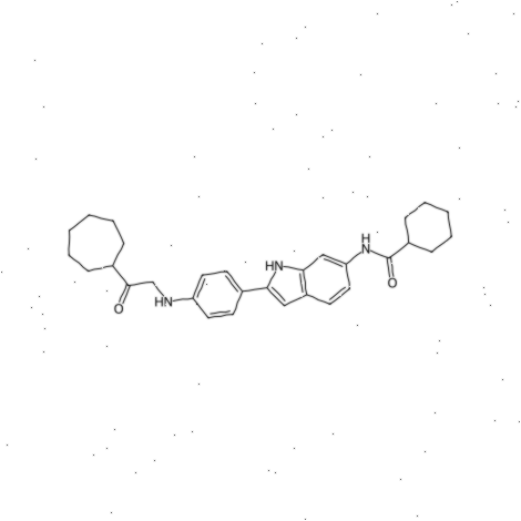 O=C(CNc1ccc(-c2cc3ccc(NC(=O)C4CCCCC4)cc3[nH]2)cc1)C1CCCCCC1